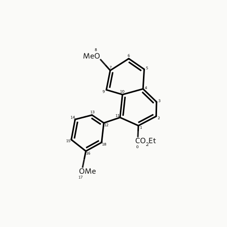 CCOC(=O)c1ccc2ccc(OC)cc2c1-c1cccc(OC)c1